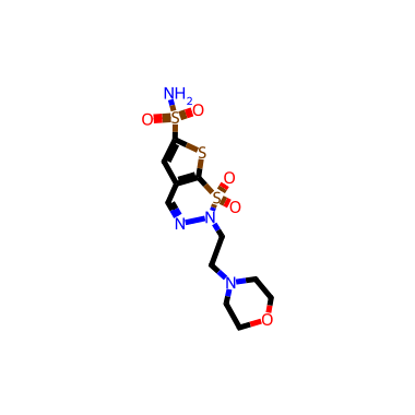 NS(=O)(=O)c1cc2c(s1)S(=O)(=O)N(CCN1CCOCC1)N=C2